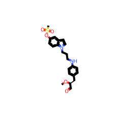 CO[C@H](C=O)Cc1ccc(NCCCn2ccc3cc(OS(C)(=O)=O)ccc32)cc1